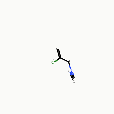 [C-]#[N+]CC(=C)Cl